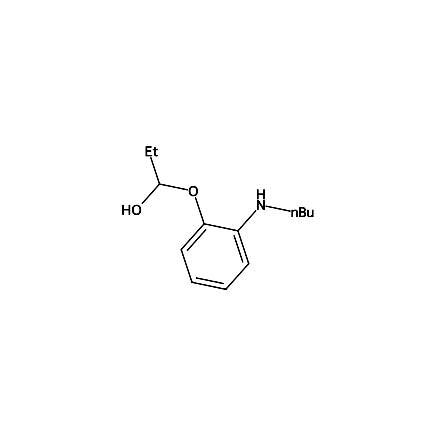 CCCCNc1ccccc1OC(O)CC